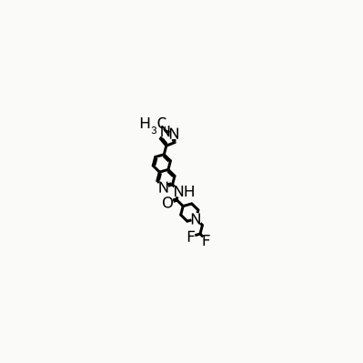 Cn1cc(-c2ccc3cnc(NC(=O)C4CCN(CC(F)F)CC4)cc3c2)cn1